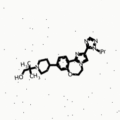 CC(C)n1ncnc1-c1cn2c(n1)-c1ccc(C3CCN(C(C)(C)CO)CC3)cc1OCC2